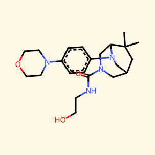 CC1(C)CC2CN(C(=O)NCCO)CC1N(c1ccc(N3CCOCC3)cc1)C2